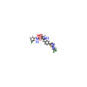 O=C(NCc1cccc(F)c1)O[C@@H]1[C@@H](O)CN[C@@H]1Cc1ccc(-c2cnc(N3CC(F)(F)C3)s2)cc1